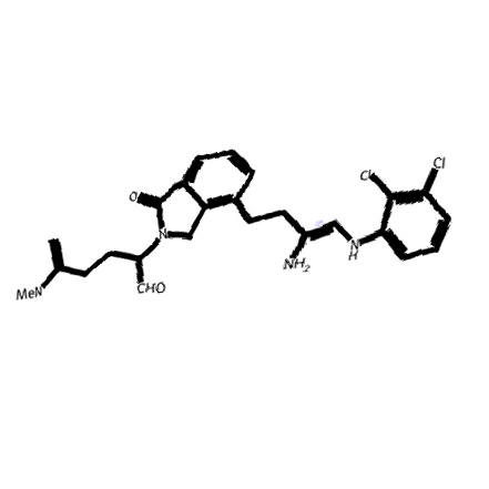 C=C(CCC(C=O)N1Cc2c(CC/C(N)=C/Nc3cccc(Cl)c3Cl)cccc2C1=O)NC